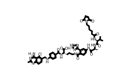 Cc1nc(N)c2c(Cl)c(CNc3ccc(C(=O)N[C@@H](CCCNC(=O)c4ccc(NC(=O)[C@H](C)NC(=O)[C@@H](NC(=O)CCCCCN5C(=O)C=CC5=O)C(C)C)cc4-c4nn[nH]n4)C(=O)O)cc3)ccc2n1